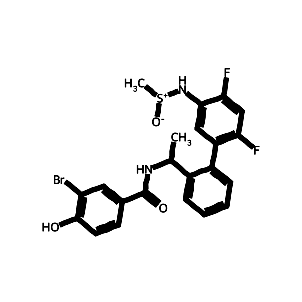 CC(NC(=O)c1ccc(O)c(Br)c1)c1ccccc1-c1cc(N[S+](C)[O-])c(F)cc1F